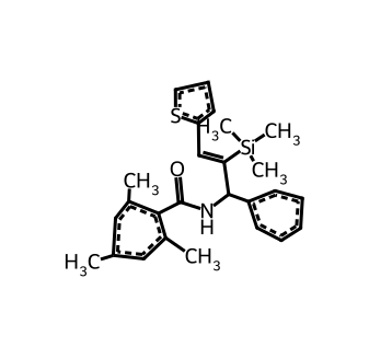 Cc1cc(C)c(C(=O)NC(C(=Cc2cccs2)[Si](C)(C)C)c2ccccc2)c(C)c1